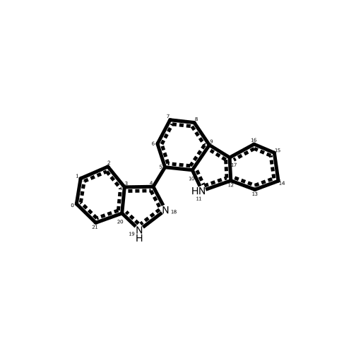 c1ccc2c(-c3cccc4c3[nH]c3ccccc34)n[nH]c2c1